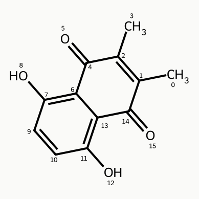 CC1=C(C)C(=O)c2c(O)ccc(O)c2C1=O